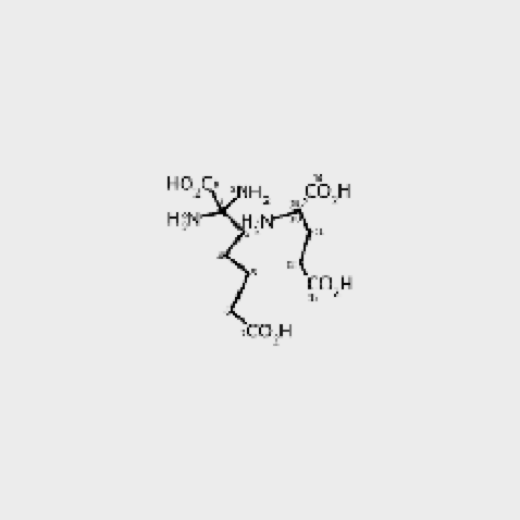 NC(N)(CCCCC(=O)O)C(=O)O.N[C@@H](CCC(=O)O)C(=O)O